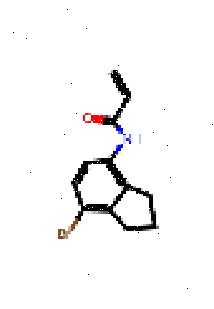 C=CC(=O)Nc1ccc(Br)c2c1CCC2